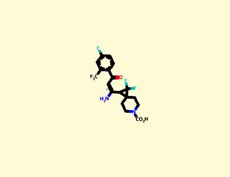 N/C(=C/C(=O)c1ccc(F)cc1C(F)(F)F)C1C(F)(F)C12CCN(C(=O)O)CC2